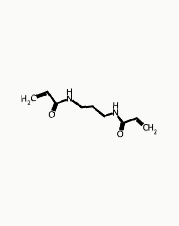 C=CC(=O)NCCCNC(=O)C=C